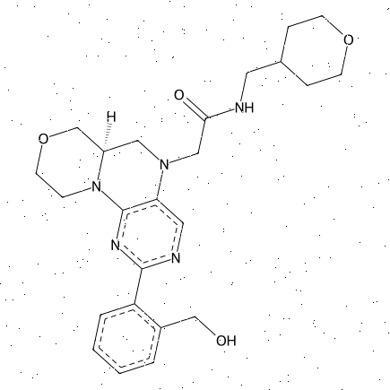 O=C(CN1C[C@@H]2COCCN2c2nc(-c3ccccc3CO)ncc21)NCC1CCOCC1